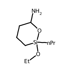 CCC[Si]1(OCC)CCCC(N)O1